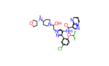 CN(C1CCN(C(O)Cn2cc(NC(=O)c3cnn4cccnc34)c(-c3cc(Cl)ccc3OC(F)F)n2)CC1)[C@@H]1CCOC1